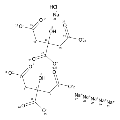 Cl.O=C([O-])CC(O)(CC(=O)[O-])C(=O)[O-].O=C([O-])CC(O)(CC(=O)[O-])C(=O)[O-].[Na+].[Na+].[Na+].[Na+].[Na+].[Na+]